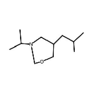 CC(C)CC1COCN(C(C)C)C1